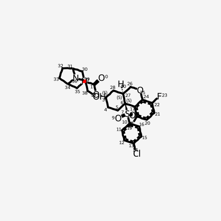 O=C(O[C@H]1CC[C@@]2(S(=O)(=O)c3ccc(Cl)cc3)c3c(F)ccc(F)c3OC[C@@H]2C1)N1CC2CCC(C1)N2CCO